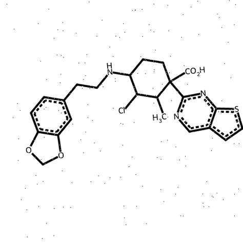 CC1C(Cl)C(NCCc2ccc3c(c2)OCO3)CCC1(C(=O)O)c1ncc2ccsc2n1